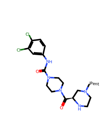 CCCC(C)N1CCN[C@@H](C(=O)N2CCN(C(=O)Nc3ccc(Cl)c(Cl)c3)CC2)C1